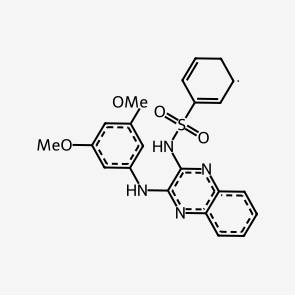 COc1cc(Nc2nc3ccccc3nc2NS(=O)(=O)C2=C[CH]CC=C2)cc(OC)c1